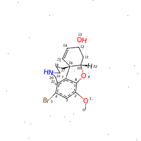 COc1cc(Br)c2c3c1O[C@H]1C[C@@H](O)C=C[C@@]31CCCNC2